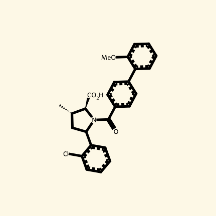 COc1ccccc1-c1ccc(C(=O)N2C(c3ccccc3Cl)C[C@H](C)[C@H]2C(=O)O)cc1